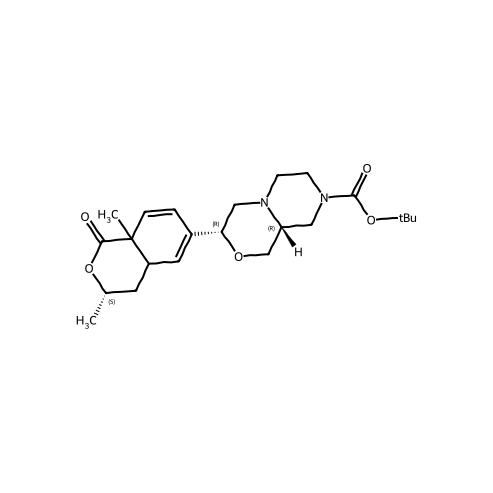 C[C@H]1CC2C=C([C@@H]3CN4CCN(C(=O)OC(C)(C)C)C[C@@H]4CO3)C=CC2(C)C(=O)O1